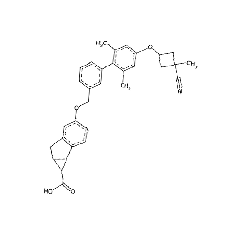 Cc1cc(OC2CC(C)(C#N)C2)cc(C)c1-c1cccc(COc2cc3c(cn2)C2C(C3)C2C(=O)O)c1